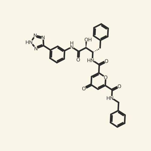 O=C(NCc1ccccc1)c1cc(=O)cc(C(=O)N[C@@H](Cc2ccccc2)[C@H](O)C(=O)Nc2cccc(-c3nn[nH]n3)c2)o1